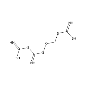 N=C(S)SCSSC(=N)SC(=N)S